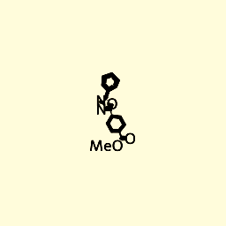 COC(=O)[C@H]1CC[C@H](c2nnc(-c3ccccc3)o2)CC1